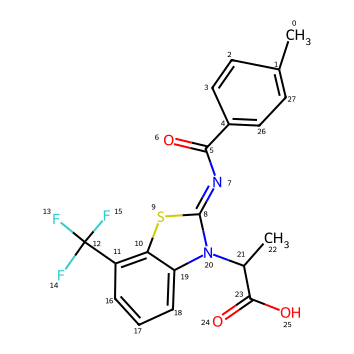 Cc1ccc(C(=O)N=c2sc3c(C(F)(F)F)cccc3n2C(C)C(=O)O)cc1